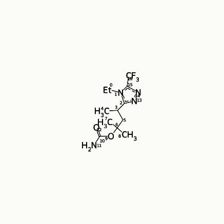 CCn1c(C(C)CC(C)(C)OC(N)=O)nnc1C(F)(F)F